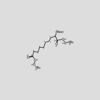 CCCCCCCCCC(CCCCCCCC(=O)OOC(C)(C)C)C(=O)OOC(C)(C)C